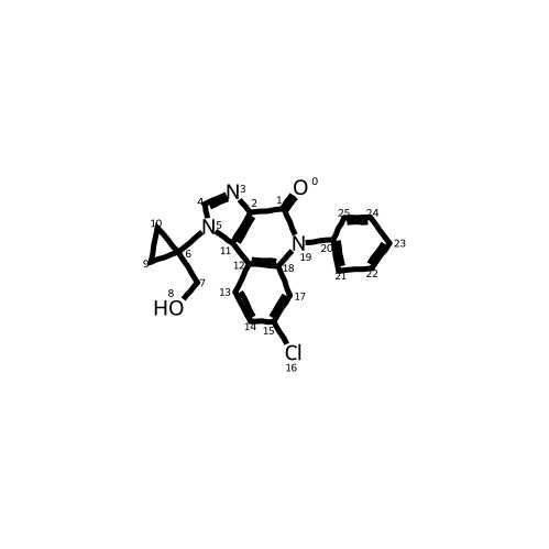 O=c1c2ncn(C3(CO)CC3)c2c2ccc(Cl)cc2n1-c1ccccc1